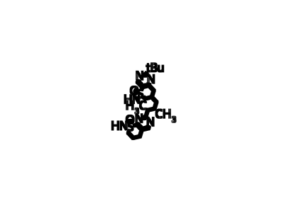 C[C@@H](CC1Cc2nc(C(C)(C)C)ncc2S(=N)(=O)C1)[C@@H](C)c1ncc2c(n1)S(=N)(=O)CCC2